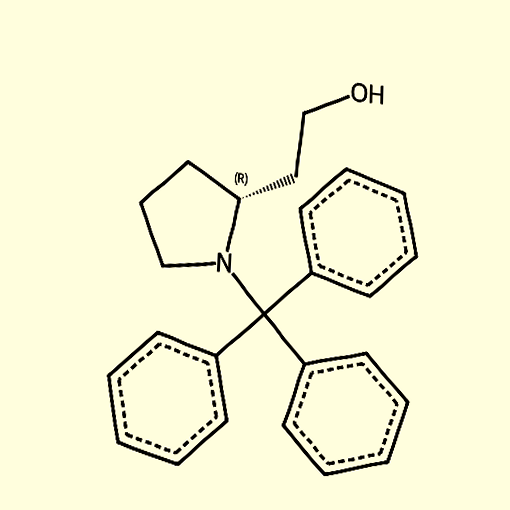 OCC[C@H]1CCCN1C(c1ccccc1)(c1ccccc1)c1ccccc1